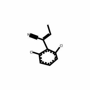 C/C=C(\C#N)c1c(Cl)cccc1Cl